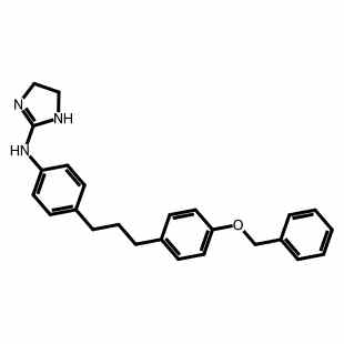 c1ccc(COc2ccc(CCCc3ccc(NC4=NCCN4)cc3)cc2)cc1